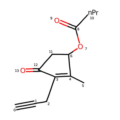 C#CCC1=C(C)C(OC(=O)CCC)CC1=O